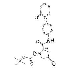 CC(C)(C)OC(=O)ON1CC(=O)C[C@@H]1C(=O)Nc1ccc(-n2ccccc2=O)cc1